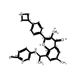 Cc1cc(C(C)Nc2ccc(Cl)nc2)c2oc(-c3ccc(C4CNC4)cc3)c(C)c(=O)c2c1